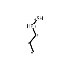 CCCPS